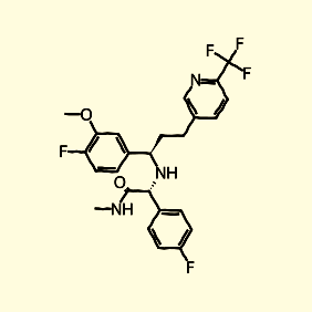 CNC(=O)[C@H](N[C@H](CCc1ccc(C(F)(F)F)nc1)c1ccc(F)c(OC)c1)c1ccc(F)cc1